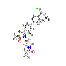 Cc1cc(Cl)c2ccc(-c3ccc(C4=NC5(CC5)C(=O)N4CC4CN(C(=O)C5(C)CC5)C4)c(C)c3)cc2n1